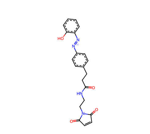 O=C(CCc1ccc(/N=N/c2ccccc2O)cc1)NCCN1C(=O)C=CC1=O